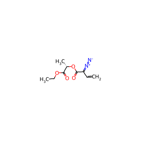 C=CC(=[N+]=[N-])C(=O)O[C@@H](C)C(=O)OCC